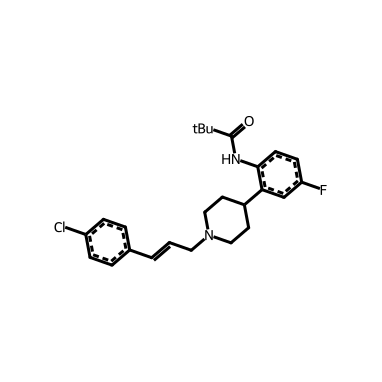 CC(C)(C)C(=O)Nc1ccc(F)cc1C1CCN(CC=Cc2ccc(Cl)cc2)CC1